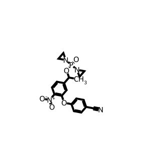 CC(OP(=O)(N1CC1)N1CC1)c1ccc([N+](=O)[O-])c(Oc2ccc(C#N)cc2)c1